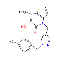 N#Cc1ccc(Cn2cc(Cn3c(=O)c(O)c(C(=O)O)c4sccc43)cn2)cc1